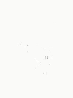 CC(F)(F)c1nc2oc(=O)cc(CCC3CCC3)c2c(=O)[nH]1